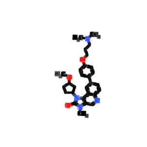 CO[C@@H]1CC[C@H](n2c(=O)n(C)c3cnc4ccc(-c5ccc(OCCCN(C)C)cc5)cc4c32)C1